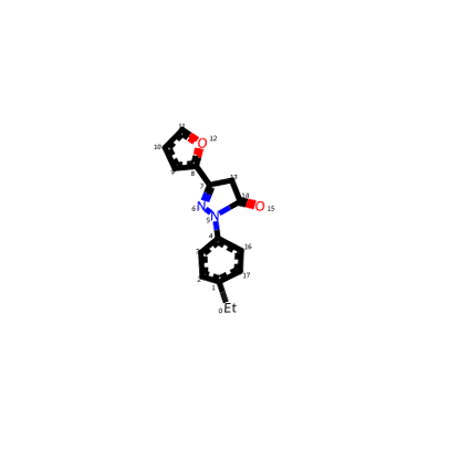 CCc1ccc(N2N=C(c3ccco3)CC2=O)cc1